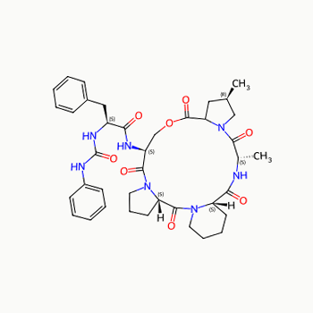 C[C@@H]1CC2C(=O)OC[C@H](NC(=O)[C@H](Cc3ccccc3)NC(=O)Nc3ccccc3)C(=O)N3CCC[C@H]3C(=O)N3CCCC[C@H]3C(=O)N[C@@H](C)C(=O)N2C1